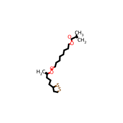 C=C(CCCC1CCSS1)OOCCCCCCCCOC(=O)C(=C)C